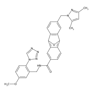 COc1ccc(-n2cnnn2)c(CNC(=O)c2ccc3c(c2)c2oc3c3cc(Cn4nc(C)cc4C)ccc32)c1